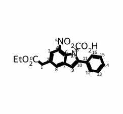 CCOC(=O)Cc1cc([N+](=O)[O-])c2c(c1)cc(-c1ccccc1)n2C(=O)O